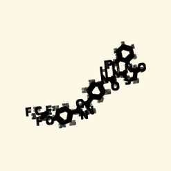 CC(C)c1ccccc1N1C(=O)CSC1NC(=O)Nc1ccc(-c2nnc(-c3ccc(OC(F)(F)C(F)(F)F)cc3)o2)cc1